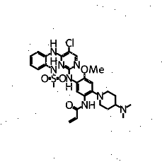 C=CC(=O)Nc1cc(Nc2ncc(Cl)c(Nc3ccccc3NS(C)(=O)=O)n2)c(OC)cc1N1CCC(N(C)C)CC1